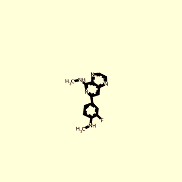 CNc1ccc(-c2cc3nccnc3c(NC)n2)cc1F